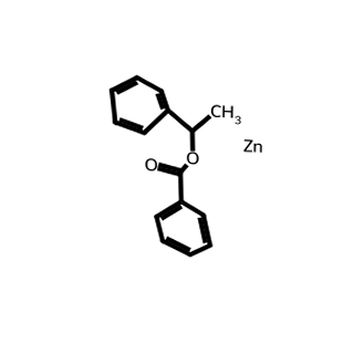 CC(OC(=O)c1ccccc1)c1ccccc1.[Zn]